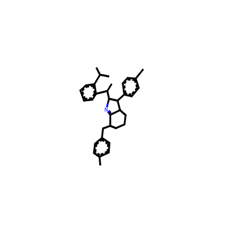 Cc1ccc(CC2CCCC3C2=NC(C(C)c2ccccc2C(C)C)C3c2ccc(C)cc2)cc1